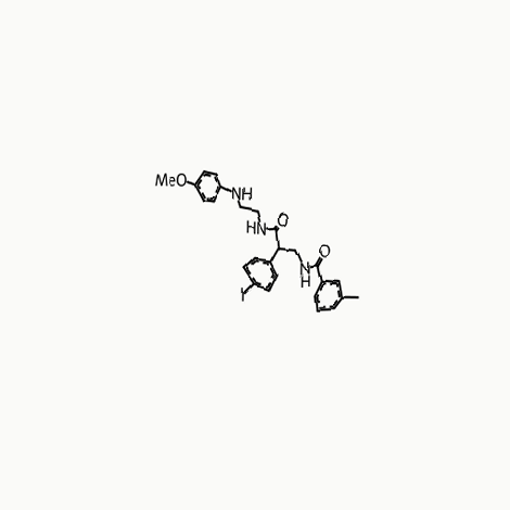 COc1ccc(NCCNC(=O)C(CNC(=O)c2cccc(C)c2)c2ccc(I)cc2)cc1